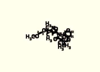 COCCOC(C)(C)c1cc(NC(=O)C(C)(C)N(C)CC2CCOCC2)on1